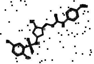 COc1ccc(NC(=O)OC[C@H]2CC(NS(=O)(=O)c3cc(Br)ccc3Br)CN2C#N)cc1